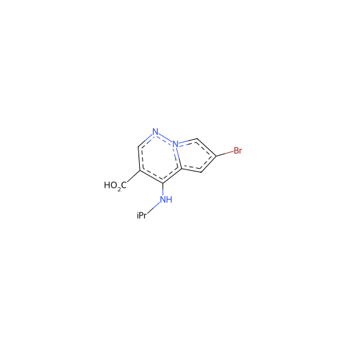 CC(C)Nc1c(C(=O)O)cnn2cc(Br)cc12